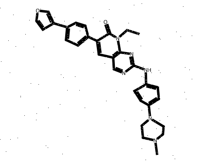 CCn1c(=O)c(-c2ccc(-c3ccoc3)cc2)cc2cnc(Nc3ccc(N4CCN(C)CC4)cc3)nc21